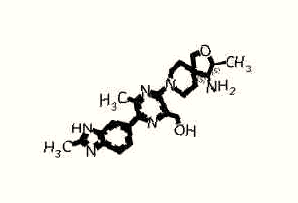 Cc1nc2ccc(-c3nc(CO)c(N4CCC5(CC4)CO[C@@H](C)[C@H]5N)nc3C)cc2[nH]1